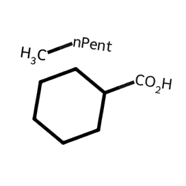 CCCCCC.O=C(O)C1CCCCC1